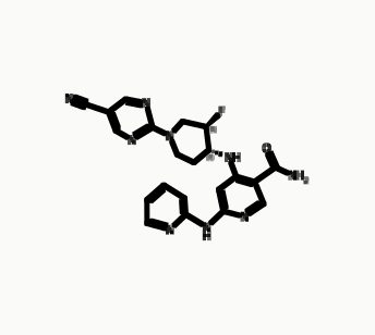 N#Cc1cnc(N2CC[C@@H](Nc3cc(Nc4ccccn4)ncc3C(N)=O)[C@H](F)C2)nc1